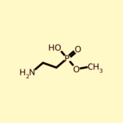 COP(=O)(O)CCN